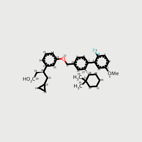 COc1ccc(F)c(-c2ccc(COc3cccc([C@H](CC(=O)O)CC4CC4)c3)cc2[C@@H]2CCCCC2(C)C)c1